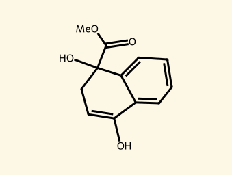 COC(=O)C1(O)CC=C(O)c2ccccc21